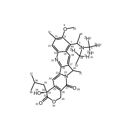 [2H]C([2H])([2H])N(C(C)c1c(OC)c(C)cc2nc3c(cc12)C(C)n1c-3cc2c(c1=O)COC(=O)[C@]2(O)CC(C)C)C([2H])([2H])C